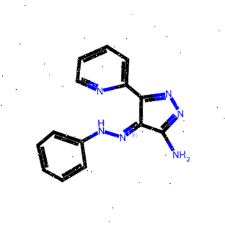 NC1=NN=C(c2ccccn2)/C1=N\Nc1ccccc1